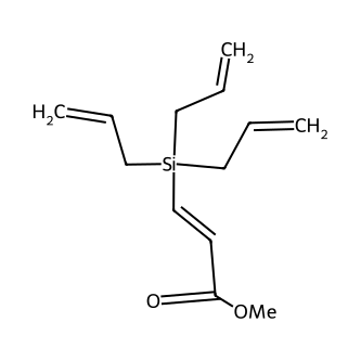 C=CC[Si](C=CC(=O)OC)(CC=C)CC=C